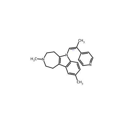 C/C(=C/n1c2c(c3cc(C)ccc31)CCN(C)CC2)c1ccncc1